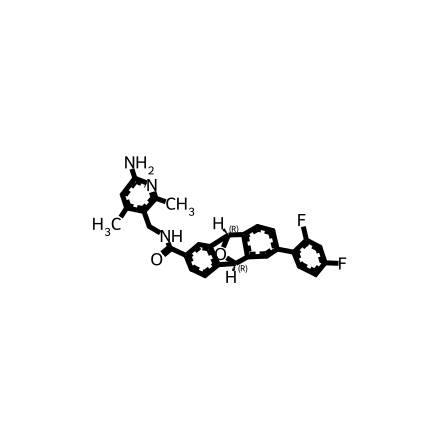 Cc1cc(N)nc(C)c1CNC(=O)c1ccc2c(c1)[C@@H]1O[C@H]2c2cc(-c3ccc(F)cc3F)ccc21